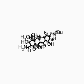 CN(C)[C@@H]1C(O)=C(C(N)=O)C(=O)[C@@]2(O)C(O)=C3C(=O)c4c(O)c(F)c(CNC(C)(C)C)c(F)c4C[C@H]3C[C@@H]12